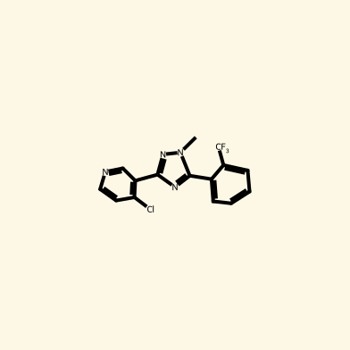 Cn1nc(-c2cnccc2Cl)nc1-c1ccccc1C(F)(F)F